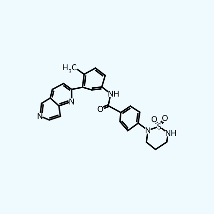 Cc1ccc(NC(=O)c2ccc(N3CCCNS3(=O)=O)cc2)cc1-c1ccc2cnccc2n1